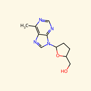 Cc1ncnc2c1ncn2C1CCC(CO)O1